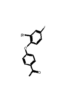 CC(=O)c1ccc(Oc2ccc(F)cc2Br)cc1